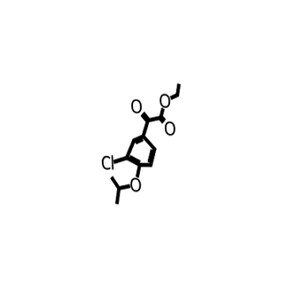 CCOC(=O)C(=O)c1ccc(OC(C)C)c(Cl)c1